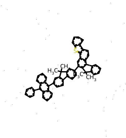 CC1(C)c2cc(-c3cc4c(ccc5c6ccccc6sc45)c4c3C(C)(C)c3ccccc3-4)ccc2-c2ccc(-c3c4ccccc4c(-c4ccccc4)c4ccccc34)cc21